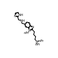 CCCN(CCC)CCCCc1nc2ccc(CNCc3ncc[nH]3)cc2n1CCC